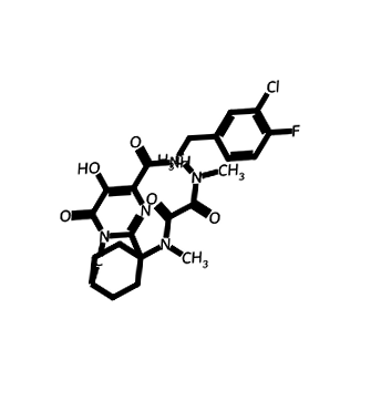 CN(C)C(=O)C(=O)N(C)C12CCC(CC1)Cn1c2nc(C(=O)NCc2ccc(F)c(Cl)c2)c(O)c1=O